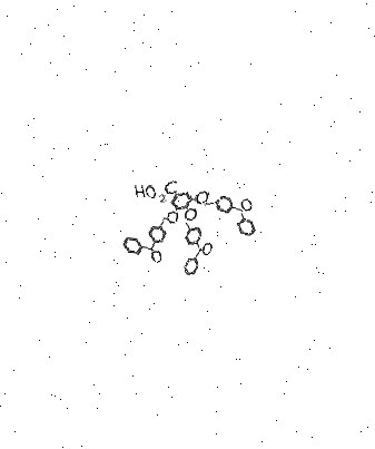 O=C(O)c1cc(OCc2ccc(C(=O)c3ccccc3)cc2)c(OCc2ccc(C(=O)c3ccccc3)cc2)c(OCc2ccc(C(=O)c3ccccc3)cc2)c1